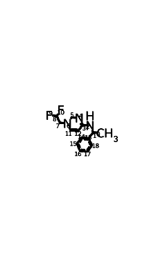 CC(NC1=NCN(CC(F)F)C=C1)c1ccccc1